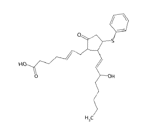 CCCCCC(O)/C=C/C1C(Sc2ccccc2)CC(=O)C1C/C=C/CCCC(=O)O